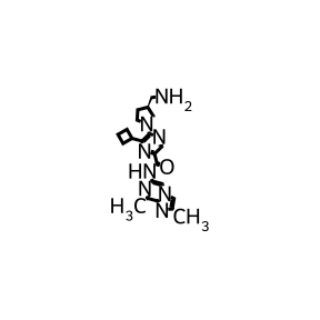 Cc1cn2cc(NC(=O)c3cnc(N4CC[C@@H](CN)C4)c(C4CCC4)n3)nc(C)c2n1